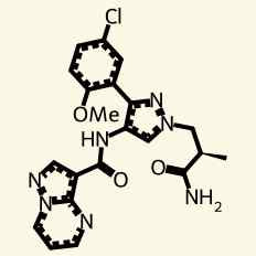 COc1ccc(Cl)cc1-c1nn(C[C@@H](C)C(N)=O)cc1NC(=O)c1cnn2cccnc12